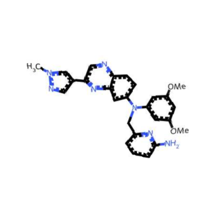 COc1cc(OC)cc(N(Cc2cccc(N)n2)c2ccc3ncc(-c4cnn(C)c4)nc3c2)c1